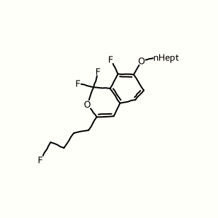 CCCCCCCOc1ccc2c(c1F)C(F)(F)OC(CCCCF)=C2